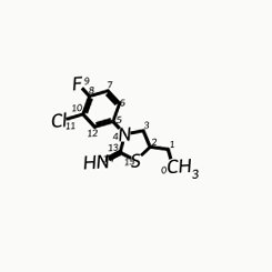 CCC1CN(c2ccc(F)c(Cl)c2)C(=N)S1